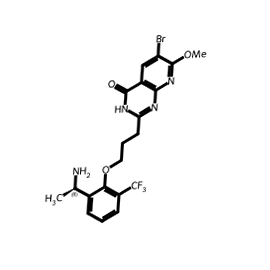 COc1nc2nc(CCCOc3c([C@@H](C)N)cccc3C(F)(F)F)[nH]c(=O)c2cc1Br